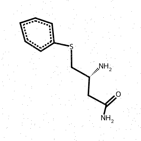 NC(=O)C[C@@H](N)CSc1ccccc1